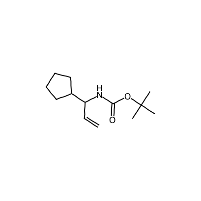 C=CC(NC(=O)OC(C)(C)C)C1CCCC1